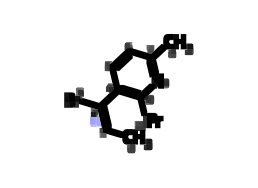 C/C=C(/Br)c1ccc(C)nc1C(C)C